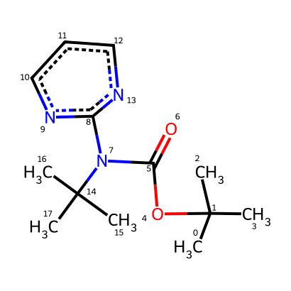 CC(C)(C)OC(=O)N(c1ncccn1)C(C)(C)C